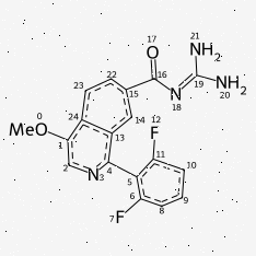 COc1cnc(-c2c(F)cccc2F)c2cc(C(=O)N=C(N)N)ccc12